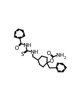 NC(=O)OC1(Cc2ccccc2)CCC(CNC(=S)NC(=O)c2ccccc2)CC1